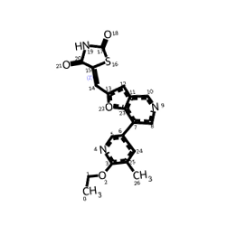 CCOc1ncc(-c2cncc3cc(/C=C4\SC(=O)NC4=O)oc23)cc1C